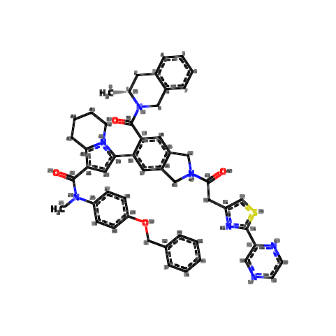 C[C@@H]1Cc2ccccc2CN1C(=O)c1cc2c(cc1-c1cc(C(=O)N(C)c3ccc(OCc4ccccc4)cc3)c3n1CCCC3)CN(C(=O)Cc1csc(-c3cnccn3)n1)C2